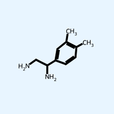 Cc1ccc(C(N)CN)cc1C